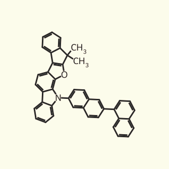 CC1(C)c2ccccc2-c2c1oc1c2ccc2c3ccccc3n(-c3ccc4cc(-c5cccc6ccccc56)ccc4c3)c21